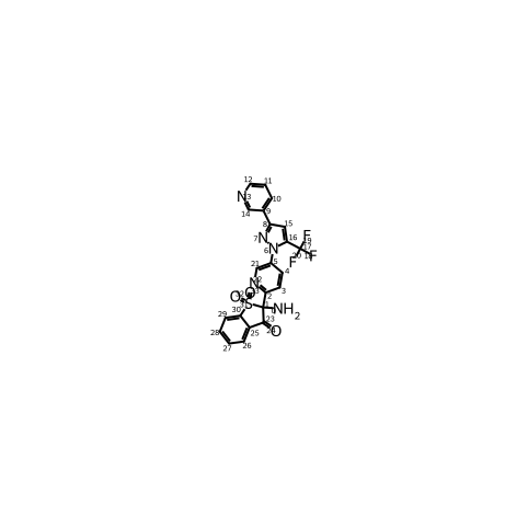 NC1(c2ccc(-n3nc(-c4cccnc4)cc3C(F)(F)F)cn2)C(=O)c2ccccc2S1(=O)=O